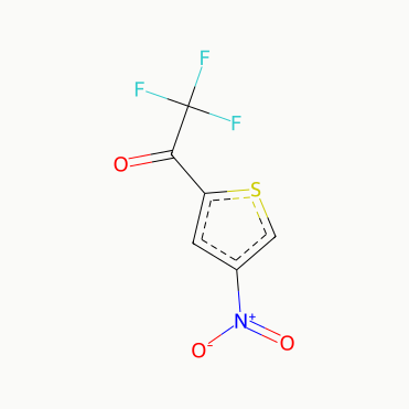 O=C(c1cc([N+](=O)[O-])cs1)C(F)(F)F